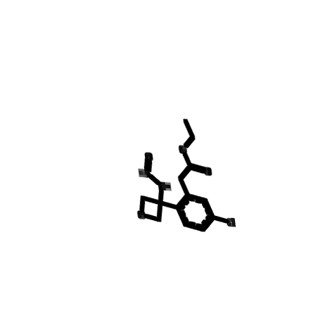 CCOC(=O)Cc1cc(Cl)ccc1C1(N[SH]=O)COC1